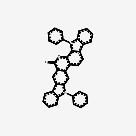 O=c1oc2c(ccc3c4ccccc4n(-c4ccccc4)c32)c2cc3c(cc12)c1ccccc1n3-c1ccccc1